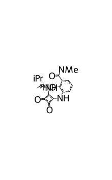 CNC(=O)c1cccc(Nc2c(N[C@H](C)C(C)C)c(=O)c2=O)c1O